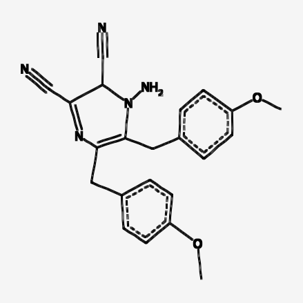 COc1ccc(CC2=C(Cc3ccc(OC)cc3)N(N)C(C#N)C(C#N)=N2)cc1